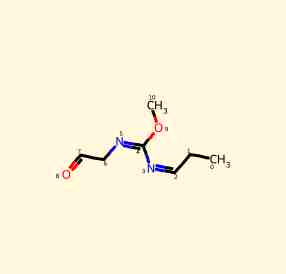 CC/C=N\C(=N/CC=O)OC